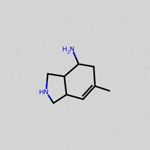 CC1=CC2CNCC2C(N)C1